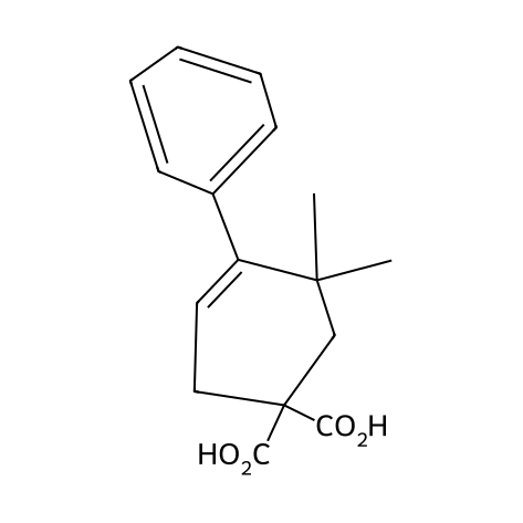 CC1(C)CC(C(=O)O)(C(=O)O)CC=C1c1ccccc1